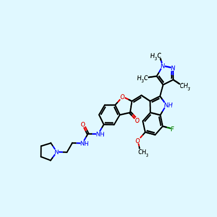 COc1cc(F)c2[nH]c(-c3c(C)nn(C)c3C)c(C=C3Oc4ccc(NC(=O)NCCN5CCCC5)cc4C3=O)c2c1